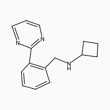 [c]1cccc(-c2ncccn2)c1CNC1CCC1